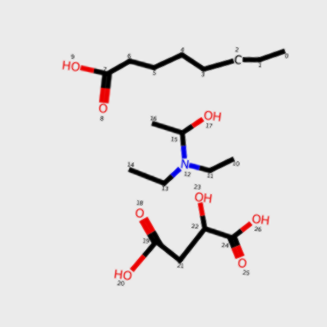 CCCCCCCC(=O)O.CCN(CC)C(C)O.O=C(O)CC(O)C(=O)O